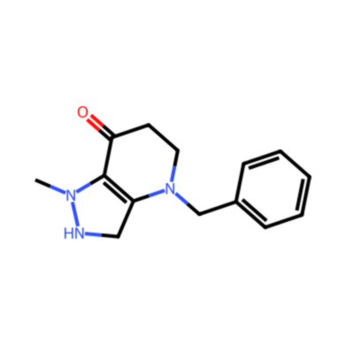 CN1NCC2=C1C(=O)CCN2Cc1ccccc1